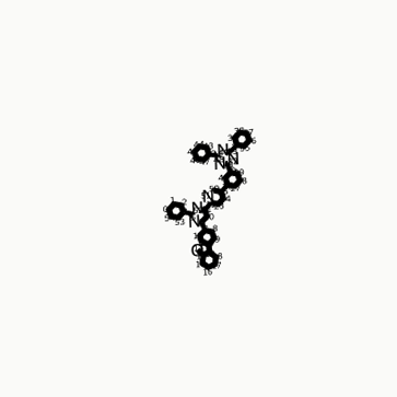 c1ccc(-c2nc(-c3ccc4c(c3)oc3ccccc34)cc(-c3ccc(-c4cccc(-c5nc(-c6ccccc6)nc(-c6ccccc6)n5)c4)cn3)n2)cc1